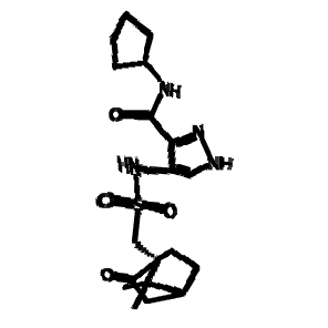 CC1(C)C2CC[C@]1(CS(=O)(=O)Nc1c[nH]nc1C(=O)NC1CCCC1)C(=O)C2